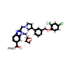 COC(=O)c1ccc2nc(CN3CCC(c4cccc(COc5ccc(Cl)cc5Cl)c4)C3)n(C[C@@H]3CCO3)c2c1